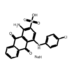 Nc1c(S(=O)(=O)O)cc(Nc2ccc(Cl)cc2)c2c1C(=O)c1ccccc1C2=O.[NaH]